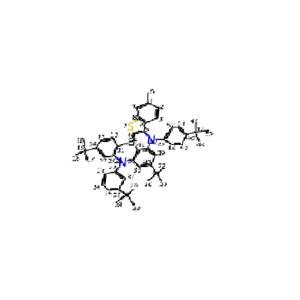 Cc1ccc2c3c(sc2c1)B1c2ccc(C(C)(C)C)cc2N(c2cccc(C(C)(C)C)c2)c2cc(C(C)(C)C)cc(c21)N3c1ccc(C(C)(C)C)cc1